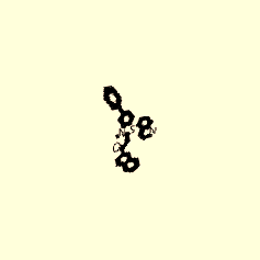 CN1C(=CC(=O)c2ccc3ccccc3c2)Sc2ccc(-c3ccccc3)cc21.c1ccc2ncccc2c1